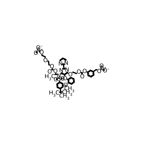 COc1ccccc1Oc1c(OCCOC(=O)Oc2cccc(CO[N+](=O)[O-])c2)nc(-c2ncccn2)nc1N(C(C)OC(=O)OCCOCCO[N+](=O)[O-])S(=O)(=O)c1ccc(C(C)(C)C)cc1